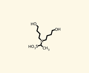 CC(N(CCCCO)CCCCO)S(=O)(=O)O